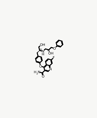 NC(=O)c1cnc2cc(F)ccc2c1Oc1ccc(C[C@@H](CO)NC[C@H](O)COc2ccccc2)cc1